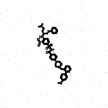 CSc1ccc(-c2ncccc2CN2CCN(c3ccc(C(=O)NS(=O)(=O)c4ccc(N[C@H](CCN(C)C)CSc5ccccc5)c([N+](=O)[O-])c4)cc3)CC2)cc1